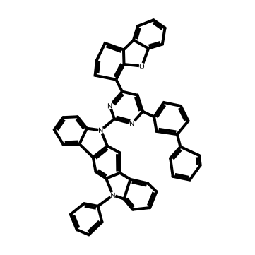 c1ccc(-c2cccc(-c3cc(-c4cccc5c4oc4ccccc45)nc(-n4c5ccccc5c5cc6c(cc54)c4ccccc4n6-c4ccccc4)n3)c2)cc1